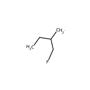 [CH2]C(CC)CF